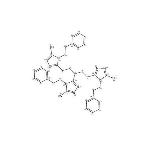 Sc1nnc(CCC(CCc2nnc(S)n2CCc2ccccc2)c2nnc(S)n2CCc2ccccc2)n1CCc1ccccc1